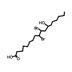 CCCCCCC(O)CC(Br)C(Br)CCCCCCCC(=O)O